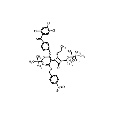 CCS[C@@H]1[C@@H]([C@@H](C)O[Si](C)(C)C(C)(C)C)C(=O)N1C(C(=O)OCc1ccc([N+](=O)[O-])cc1)=C(Oc1ccc(C(=S)c2cc(Cl)c(Cl)cc2Cl)cc1)SC(=O)C(C)(C)C